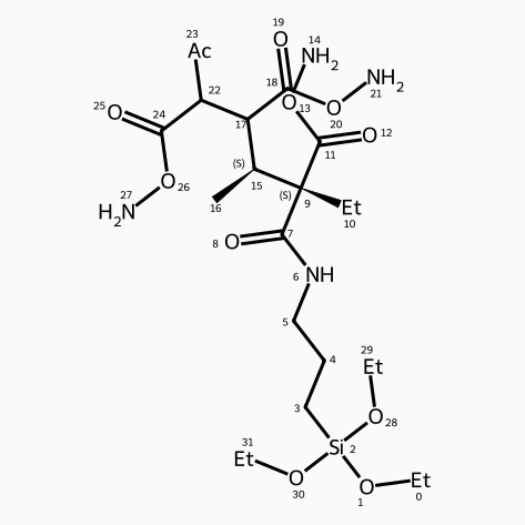 CCO[Si](CCCNC(=O)[C@@](CC)(C(=O)ON)[C@@H](C)C(C(=O)ON)C(C(C)=O)C(=O)ON)(OCC)OCC